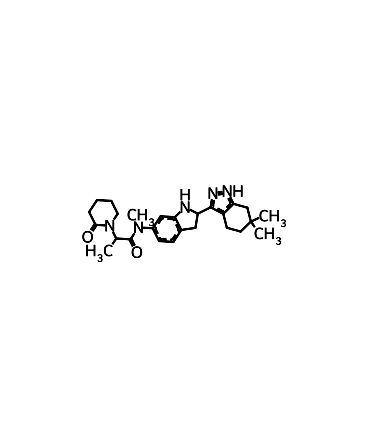 CC(C(=O)N(C)c1ccc2c(c1)NC(c1n[nH]c3c1CCC(C)(C)C3)C2)N1CCCCC1=O